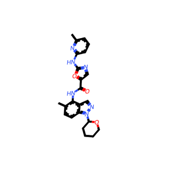 Cc1cccc(Nc2ncc(C(=O)Nc3c(C)ccc4c3cnn4C3CCCCO3)o2)n1